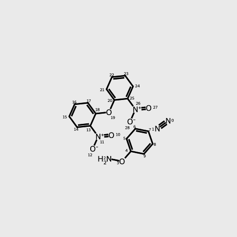 N#N.NOc1ccccc1.O=[N+]([O-])c1ccccc1Oc1ccccc1[N+](=O)[O-]